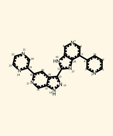 c1cncc(-c2cncc3[nH]c(-c4n[nH]c5cnc(-c6cnccn6)cc45)nc23)c1